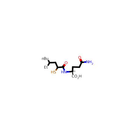 CCCCC(CC)CC(S)C(=O)N[C@@H](CCC(N)=O)C(=O)O